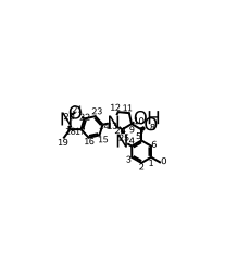 Cc1ccc2c(c1)C(=O)C1(O)CCN(c3ccc4c(C)noc4c3)C1=N2